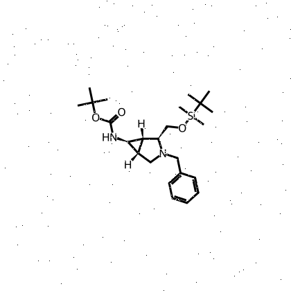 CC(C)(C)OC(=O)N[C@@H]1[C@H]2CN(Cc3ccccc3)[C@H](CO[Si](C)(C)C(C)(C)C)[C@H]21